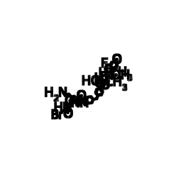 C[C@]12C=CC(=O)C=C1[C@@H](F)C[C@H]1[C@@H]3C[C@H]4O[C@@H](c5ccc(CC6CCC(NC(=O)[C@H](CCCCN)NC(=O)CNC(=O)CBr)CC6)cc5)O[C@@]4(C(=O)CO)[C@@]3(C)C[C@H](O)[C@@]12F